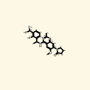 COc1cc2c(NC(C)c3cccc(C(F)F)c3F)nc(C)nc2cc1N1CCCC1=O